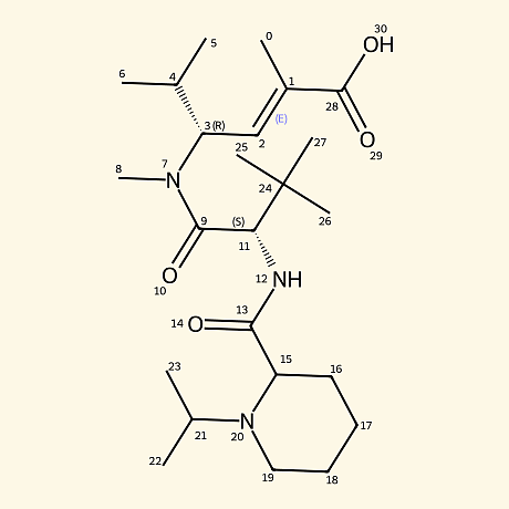 C/C(=C\[C@@H](C(C)C)N(C)C(=O)[C@@H](NC(=O)C1CCCCN1C(C)C)C(C)(C)C)C(=O)O